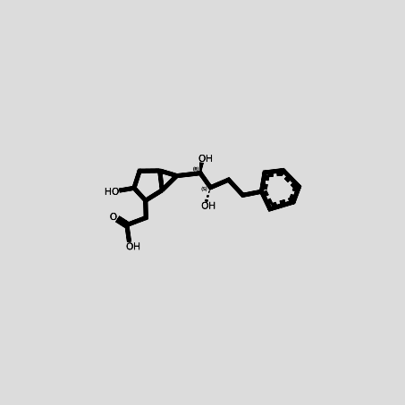 O=C(O)CC1C(O)CC2C1C2[C@@H](O)[C@@H](O)CCc1ccccc1